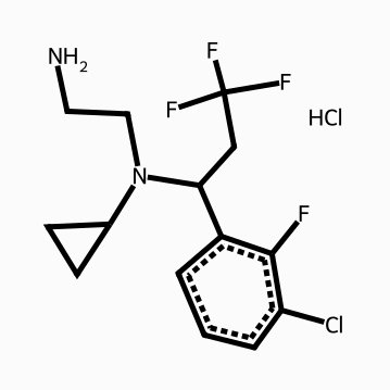 Cl.NCCN(C1CC1)C(CC(F)(F)F)c1cccc(Cl)c1F